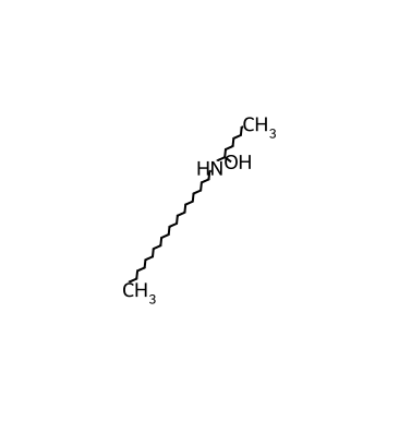 CCCCCCCCCCCCCCCCCCCCCCNCC(O)CCCCCC